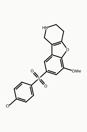 COc1cc(S(=O)(=O)c2ccc(Cl)cc2)cc2c3c(oc12)CCNC3